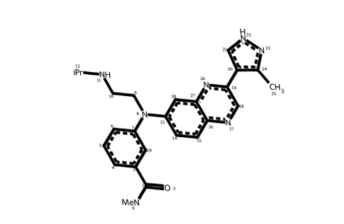 CNC(=O)c1cccc(N(CCNC(C)C)c2ccc3ncc(-c4c[nH]nc4C)nc3c2)c1